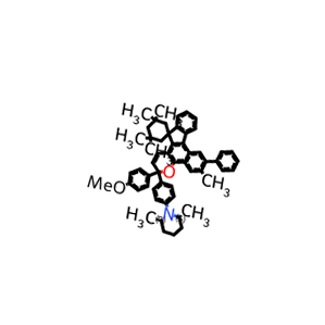 COc1ccc(C2(c3ccc(N4[C@H](C)CCC[C@@H]4C)cc3)C=Cc3c4c(c5cc(-c6ccccc6)c(C)cc5c3O2)-c2ccccc2C42CC(C)(C)CC(C)(C)C2)cc1